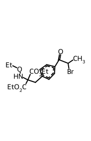 CCONC(Cc1ccc(C(=O)C(C)Br)cc1)(C(=O)OCC)C(=O)OCC